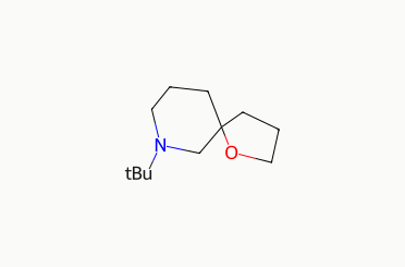 CC(C)(C)N1CCCC2(CCCO2)C1